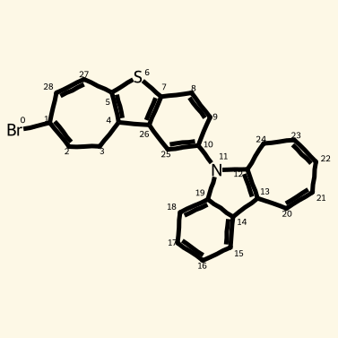 BrC1=CCc2c(sc3ccc(-n4c5c(c6ccccc64)C=CC=CC5)cc23)C=C1